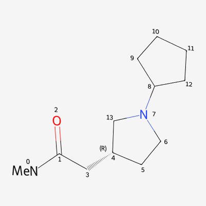 CNC(=O)C[C@H]1CCN(C2CCCC2)C1